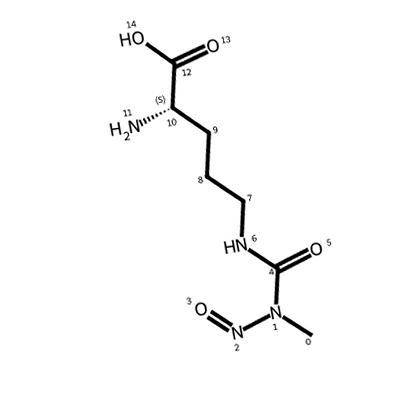 CN(N=O)C(=O)NCCC[C@H](N)C(=O)O